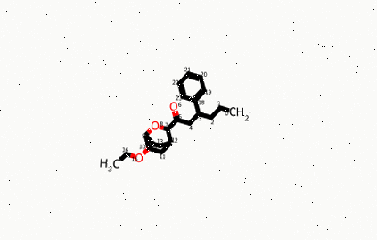 [CH2]CCC(CC(=O)[C]1OC2CCC1CC2OCC)c1ccccc1